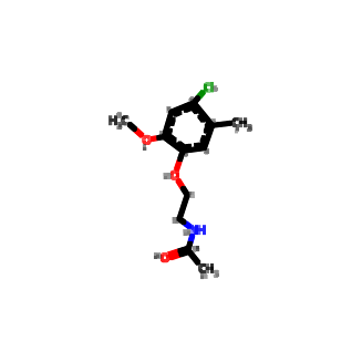 COc1cc(Cl)c(C)cc1OCCNC(C)=O